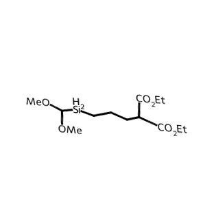 CCOC(=O)C(CCC[SiH2]C(OC)OC)C(=O)OCC